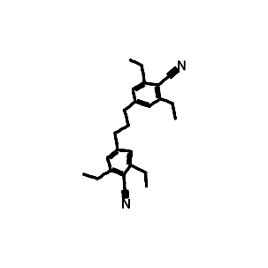 CCc1cc(CCCc2cc(CC)c(C#N)c(CC)c2)cc(CC)c1C#N